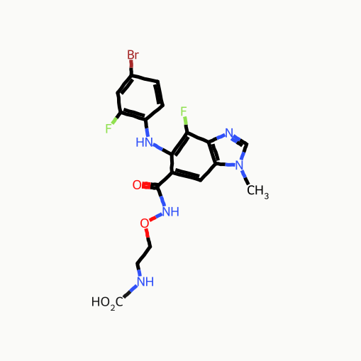 Cn1cnc2c(F)c(Nc3ccc(Br)cc3F)c(C(=O)NOCCNC(=O)O)cc21